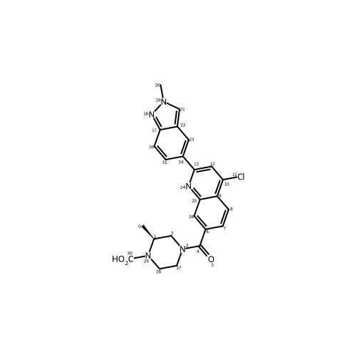 C[C@H]1CN(C(=O)c2ccc3c(Cl)cc(-c4ccc5nn(C)cc5c4)nc3c2)CCN1C(=O)O